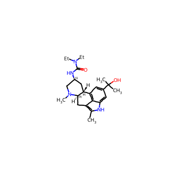 CCN(CC)C(=O)N[C@H]1C[C@@H]2c3cc(C(C)(C)O)cc4[nH]c(C)c(c34)C[C@H]2N(C)C1